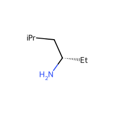 CC[C@H](N)CC(C)C